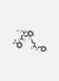 CN(Cc1ccccc1)C(=O)CCCOc1cccc2c1CN(CC(=O)Oc1ccccc1N(C)C)C(N)=N2